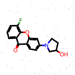 O=c1c2ccc(N3CCC(O)C3)cc2oc2c(F)cccc12